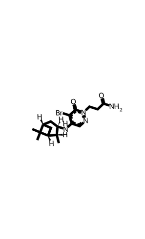 C[C@@H]1[C@H]2C[C@@H](C[C@H]1Nc1cnn(CCC(N)=O)c(=O)c1Br)C2(C)C